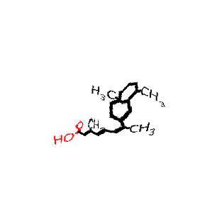 CC1=C2C=C(\C(C)=C/C=C/C(C)=C/C(=O)O)CCC2(C)CCC1